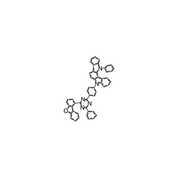 c1ccc(-c2nc(-c3ccc(-n4c5ccccc5c5c4ccc4c6ccccc6n(-c6ccccc6)c45)cc3)nc(-c3cccc4oc5ccccc5c34)n2)cc1